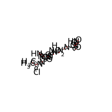 CC1(C)CCC(CN2CCN(c3ccc(C(=O)NS(=O)(=O)c4ccc(NCC5CCN(CCC6CCN(CC#Cc7cccc8c7C(=O)N(C7CCC(=O)NC7=O)C8=O)CC6)CC5)c([N+](=O)[O-])c4)c(Oc4cnc5[nH]ccc5c4)c3)CC2)=C(c2ccc(Cl)cc2)C1